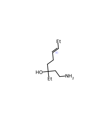 CC/C=C/CCC(O)(CC)CCN